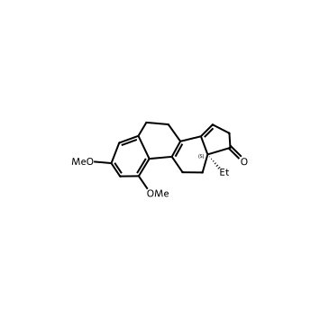 CC[C@]12CCC3=C(CCc4cc(OC)cc(OC)c43)C1=CCC2=O